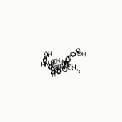 COc1nc(-c2ccnc(-c3cccc(NC(=O)c4nc5c(n4C)CCN(C[C@H]4CC[C@@H](C(=O)O)CC4)C5)c3Cl)c2Cl)ccc1CN[C@H]1CC[C@H](O)C1